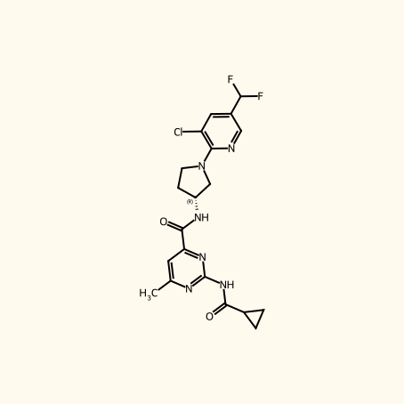 Cc1cc(C(=O)N[C@@H]2CCN(c3ncc(C(F)F)cc3Cl)C2)nc(NC(=O)C2CC2)n1